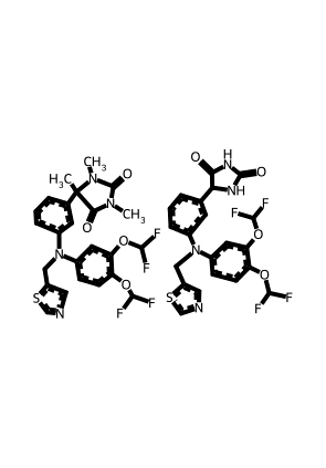 CN1C(=O)N(C)C(C)(c2cccc(N(Cc3cncs3)c3ccc(OC(F)F)c(OC(F)F)c3)c2)C1=O.O=C1NC(=O)C(c2cccc(N(Cc3cncs3)c3ccc(OC(F)F)c(OC(F)F)c3)c2)N1